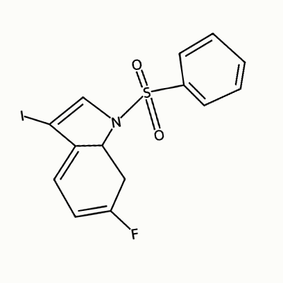 O=S(=O)(c1ccccc1)N1C=C(I)C2=CC=C(F)CC21